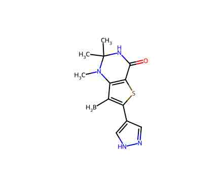 Bc1c(-c2cn[nH]c2)sc2c1N(C)C(C)(C)NC2=O